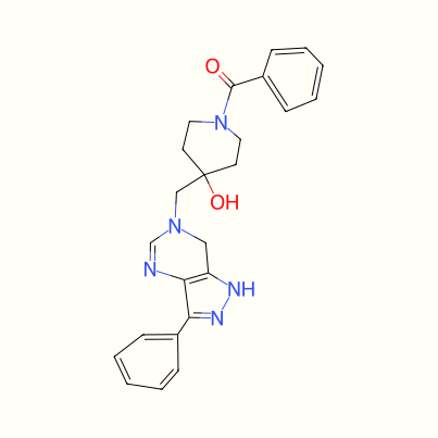 O=C(c1ccccc1)N1CCC(O)(CN2C=Nc3c(-c4ccccc4)n[nH]c3C2)CC1